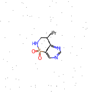 CC(C)C1CNS(=O)(=O)c2cncnc21